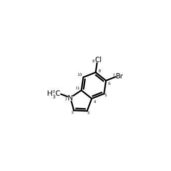 Cn1ccc2cc(Br)c(Cl)cc21